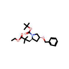 CCOC(=O)C(C)(C)C[C@@H]1C[C@@H](OCc2ccccc2)CN1C(=O)OC(C)(C)C